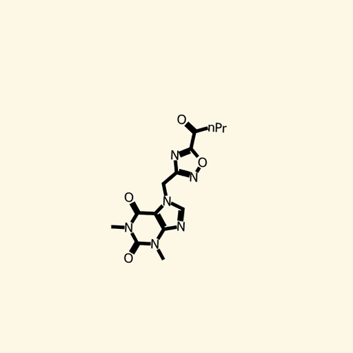 CCCC(=O)c1nc(Cn2cnc3c2c(=O)n(C)c(=O)n3C)no1